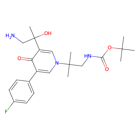 CC(C)(C)OC(=O)NCC(C)(C)n1cc(-c2ccc(F)cc2)c(=O)c(C(C)(O)CN)c1